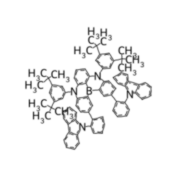 CC(C)(C)c1cc(N2c3ccc(-c4ccccc4-n4c5ccccc5c5ccccc54)cc3B3c4cc(-c5ccccc5-n5c6ccccc6c6ccccc65)ccc4N(c4cc(C(C)(C)C)cc(C(C)(C)C)c4)c4cccc2c43)cc(C(C)(C)C)c1